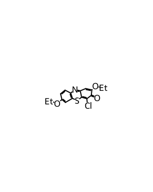 CCOc1ccc2nc3cc(OCC)c(=O)c(Cl)c-3sc2c1